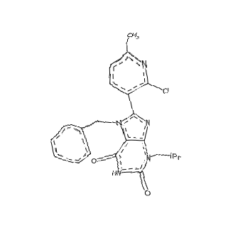 Cc1ccc(-c2nc3c(c(=O)[nH]c(=O)n3C(C)C)n2Cc2ccccc2)c(Cl)n1